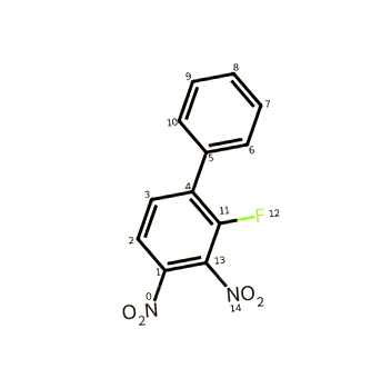 O=[N+]([O-])c1ccc(-c2ccccc2)c(F)c1[N+](=O)[O-]